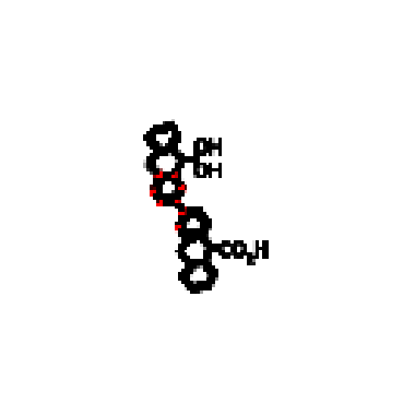 O=C(O)C12c3ccccc3C(c3ccccc31)c1cc(-c3ccc4c(c3)C3(C(O)O)c5ccccc5C4c4ccccc43)ccc12